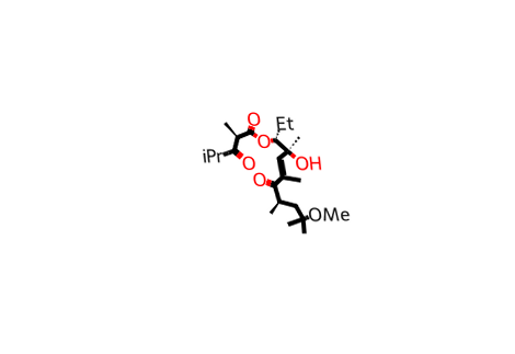 CC[C@@H](OC(=O)[C@H](C)C(=O)C(C)C)[C@@](C)(O)/C=C(\C)C(=O)[C@H](C)CC(C)(C)OC